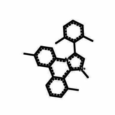 Cc1ccc2c(c1)c1cccc(C)c1c1n2c(-c2c(C)cccc2C)c[n+]1C